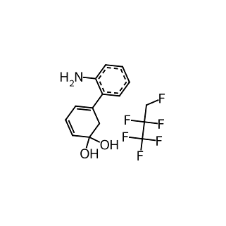 FCC(F)(F)C(F)(F)F.Nc1ccccc1C1=CC=CC(O)(O)C1